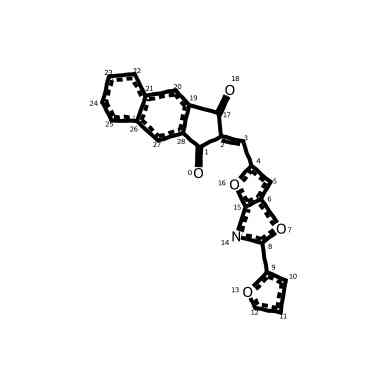 O=C1C(=Cc2cc3oc(-c4ccco4)nc3o2)C(=O)c2cc3ccccc3cc21